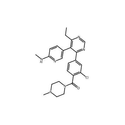 CCc1ncnc(-c2ccc(C(=O)N3CCN(C)CC3)c(Cl)c2)c1-c1ccc(NC)nc1